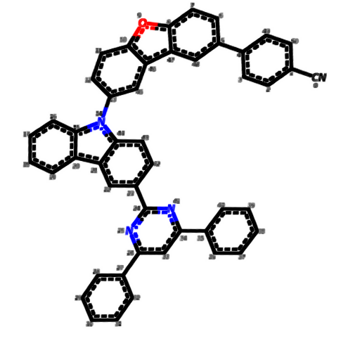 N#Cc1ccc(-c2ccc3oc4ccc(-n5c6ccccc6c6cc(-c7nc(-c8ccccc8)cc(-c8ccccc8)n7)ccc65)cc4c3c2)cc1